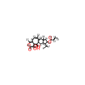 C=C1C2CC3C(C(C)C)C(OC(=O)C=CC)CC3(C)CC2C(C)=CCC2C(C)OC(=O)C(O)C12O